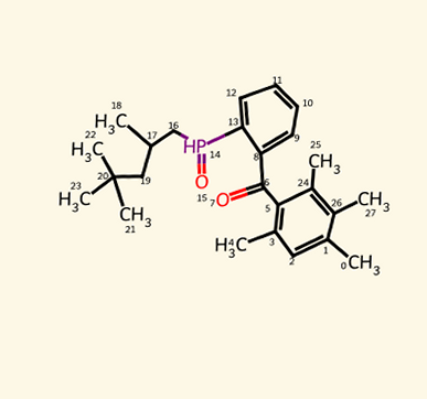 Cc1cc(C)c(C(=O)c2ccccc2[PH](=O)CC(C)CC(C)(C)C)c(C)c1C